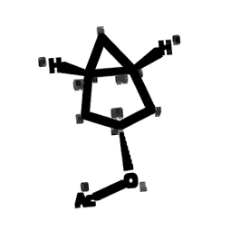 CC(=O)O[C@@H]1C[C@@H]2C[C@@H]2C1